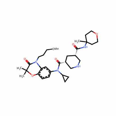 COCCCN1C(=O)C(C)(C)Oc2ccc(N(C(=O)[C@H]3CNC[C@@H](C(=O)NC4(C)CCOCC4)C3)C3CC3)cc21